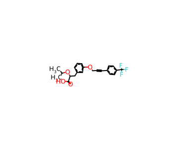 CC(C)OC(Cc1cccc(OCC#Cc2ccc(C(F)(F)F)cc2)c1)C(=O)O